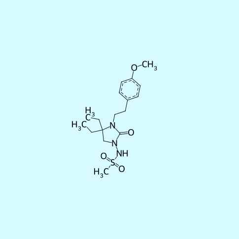 CCC1(CC)CN(NS(C)(=O)=O)C(=O)N1CCc1ccc(OC)cc1